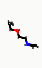 C=NCCOCC